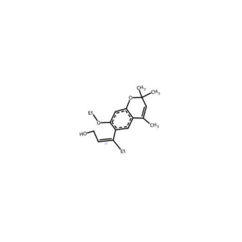 CCOc1cc2c(cc1/C(=C\CO)CC)C(C)=CC(C)(C)O2